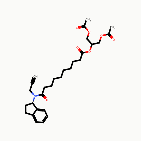 C#CCN(C(=O)CCCCCCCCC(=O)OC(COC(C)=O)COC(C)=O)[C@@H]1CCc2ccccc21